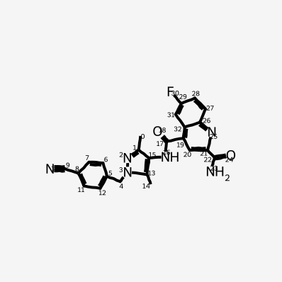 Cc1nn(Cc2ccc(C#N)cc2)c(C)c1NC(=O)c1cc(C(N)=O)nc2ccc(F)cc12